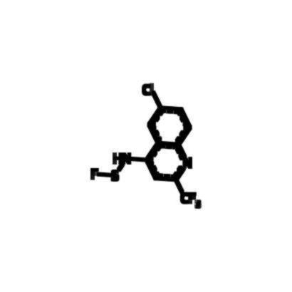 FSNc1cc(C(F)(F)F)nc2ccc(Cl)cc12